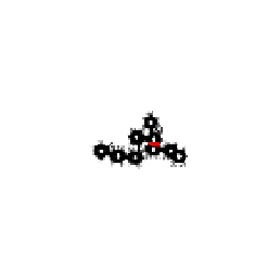 c1cc(-c2ccc3c(c2)sc2ccccc23)cc(N(c2ccc(-c3ccc4ccccc4c3)cc2)c2ccccc2-c2cccc3oc4ccccc4c23)c1